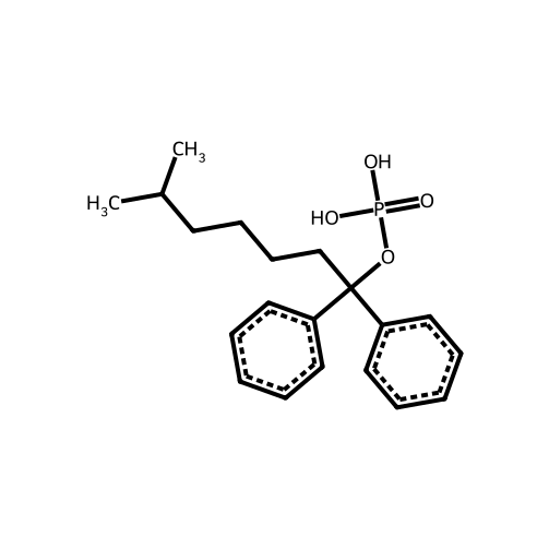 CC(C)CCCCC(OP(=O)(O)O)(c1ccccc1)c1ccccc1